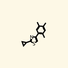 Cc1cc(C)c(-c2csc(C3CC3)n2)cc1C